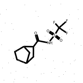 O=C(NS(=O)(=O)C(F)(F)F)C1CC2CCC1C2